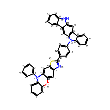 c1ccc(N2c3ccccc3Oc3cc4nc(-c5ccc(-n6c7ccccc7c7cc8[nH]c9ccccc9c8cc76)cc5)sc4cc32)cc1